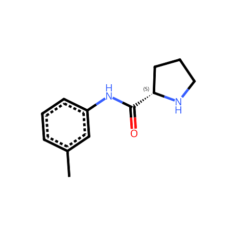 Cc1cccc(NC(=O)[C@@H]2CCCN2)c1